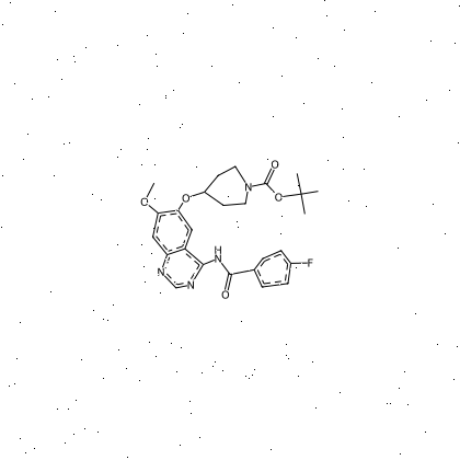 COc1cc2ncnc(NC(=O)c3ccc(F)cc3)c2cc1OC1CCN(C(=O)OC(C)(C)C)CC1